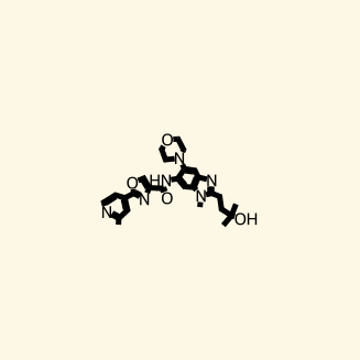 Cc1cc(-c2nc(C(=O)Nc3cc4c(cc3N3CCOCC3)nc(CCC(C)(C)O)n4C)co2)ccn1